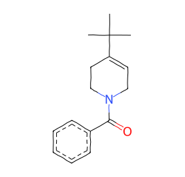 CC(C)(C)C1=CCN(C(=O)c2ccccc2)CC1